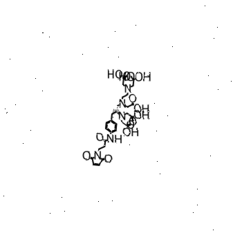 O=C(O)CN(CCN(CC(=O)O)C[C@@H](Cc1ccc(NC(=O)CCN2C(=O)C=CC2=O)cc1)N(CC(=O)O)CC(=O)O)CC(O)O